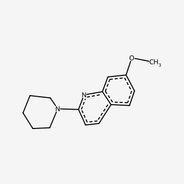 COc1ccc2ccc(N3CCCCC3)nc2c1